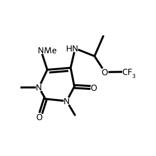 CNc1c(NC(C)OC(F)(F)F)c(=O)n(C)c(=O)n1C